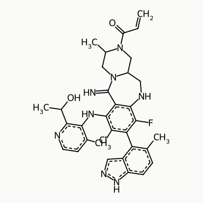 C=CC(=O)N1CC2CNc3c(F)c(-c4c(C)ccc5[nH]ncc45)c(Cl)c(Nc4c(C)ccnc4C(C)O)c3C(=N)N2CC1C